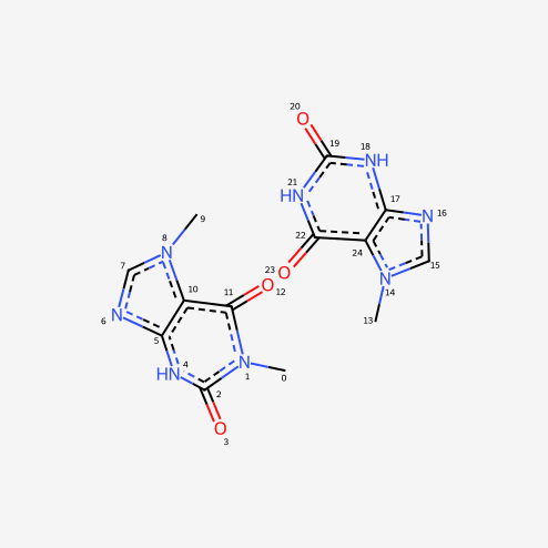 Cn1c(=O)[nH]c2ncn(C)c2c1=O.Cn1cnc2[nH]c(=O)[nH]c(=O)c21